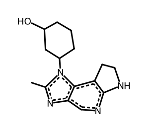 Cc1nc2cnc3c(c2n1C1CCCC(O)C1)CCN3